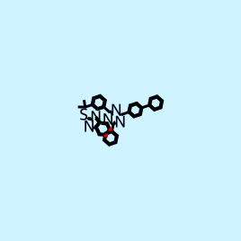 CC1(C)Sc2nc3ccccc3n2-c2c(-c3nc(-c4ccccc4)nc(-c4ccc(-c5ccccc5)cc4)n3)cccc21